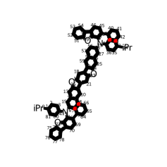 CC(C)c1ccc(N(c2ccc3cc4c(cc3c2)oc2cc3c(cc24)oc2cc4cc(N(c5ccc(C(C)C)cc5)c5c(-c6ccccc6)ccc6c5oc5ccccc56)ccc4cc23)c2c(-c3ccccc3)ccc3c2oc2ccccc23)cc1